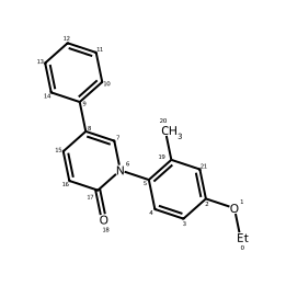 CCOc1ccc(-n2cc(-c3ccccc3)ccc2=O)c(C)c1